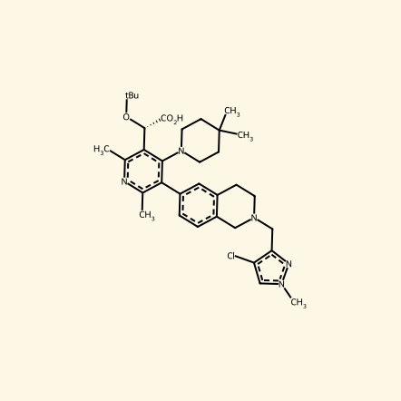 Cc1nc(C)c([C@H](OC(C)(C)C)C(=O)O)c(N2CCC(C)(C)CC2)c1-c1ccc2c(c1)CCN(Cc1nn(C)cc1Cl)C2